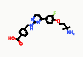 CC(C)(N)CCOc1ccc(-c2ccnc(NCc3ccc(C(=O)O)cc3)n2)cc1F